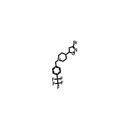 FC(F)(F)C(F)(F)c1ccc(CN2CCC(C3CC(Br)=NO3)CC2)cc1